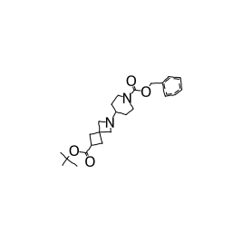 CC(C)(C)OC(=O)C1CC2(C1)CN(C1CCN(C(=O)OCc3ccccc3)CC1)C2